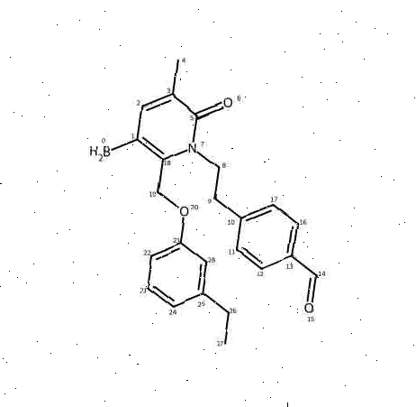 Bc1cc(C)c(=O)n(CCc2ccc(C=O)cc2)c1COc1cccc(CC)c1